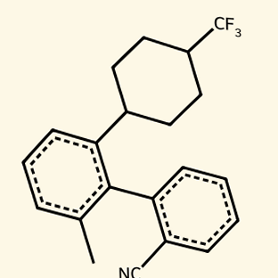 Cc1cccc(C2CCC(C(F)(F)F)CC2)c1-c1ccccc1C#N